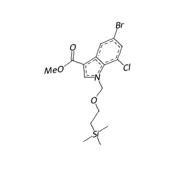 COC(=O)c1cn(COCC[Si](C)(C)C)c2c(Cl)cc(Br)cc12